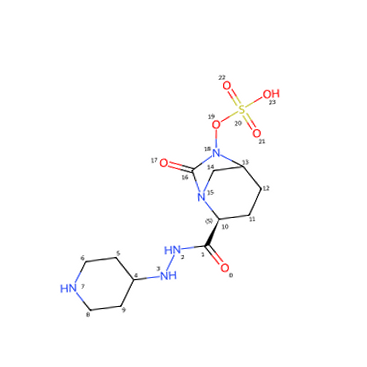 O=C(NNC1CCNCC1)[C@@H]1CCC2CN1C(=O)N2OS(=O)(=O)O